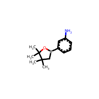 CC1(C)CB(c2cccc(N)c2)OC1(C)C